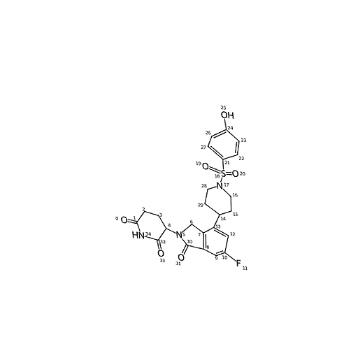 O=C1CCC(N2Cc3c(cc(F)cc3C3CCN(S(=O)(=O)c4ccc(O)cc4)CC3)C2=O)C(=O)N1